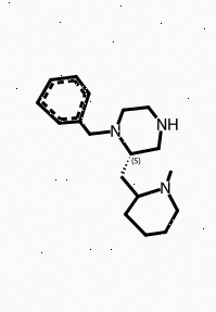 CN1CCCCC1C[C@H]1CNCCN1Cc1ccccc1